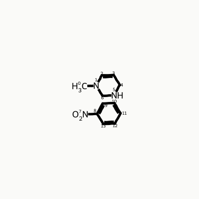 CN1C=CCNC1.O=[N+]([O-])c1ccccc1